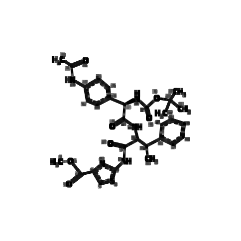 COC(=O)c1csc(NC(=O)C(NC(=O)[C@H](NC(=O)OC(C)(C)C)c2ccc(NC(C)=O)cc2)C(C)c2ccccc2)n1